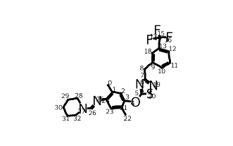 Cc1cc(Oc2nc(Cc3cccc(C(F)(F)F)c3)ns2)c(C)cc1/N=C/N1CCCCC1